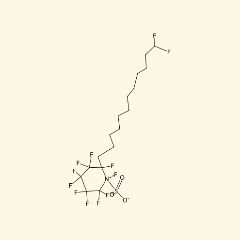 O=S(=O)([O-])[N+]1(F)C(F)(F)C(F)(F)C(F)(F)C(F)(F)C1(F)CCCCCCCCCCCC(F)F